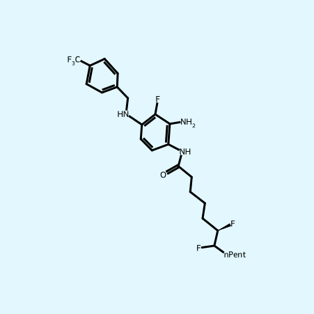 CCCCCC(F)[C@H](F)CCCCC(=O)Nc1ccc(NCc2ccc(C(F)(F)F)cc2)c(F)c1N